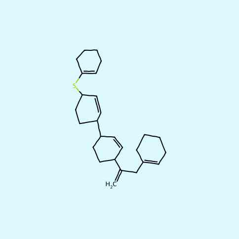 C=C(CC1=CCCCC1)C1C=CC(C2C=CC(SC3=CCCCC3)CC2)CC1